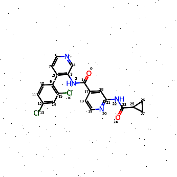 O=C(Nc1cnccc1-c1ccc(Cl)cc1Cl)c1ccnc(NC(=O)C2CC2)c1